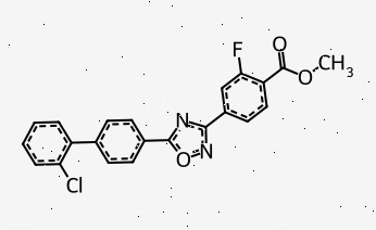 COC(=O)c1ccc(-c2noc(-c3ccc(-c4ccccc4Cl)cc3)n2)cc1F